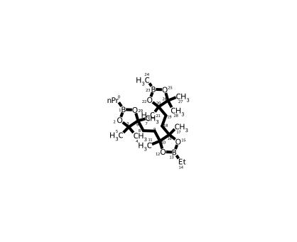 CCCB1OC(C)(C)C(C)(CCC2(C)OB(CC)OC2(C)CCC2(C)OB(C)OC2(C)C)O1